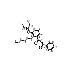 CCCCCCc1c(ON(CC)CC)cccc1C(=O)OC(=O)c1ccccc1